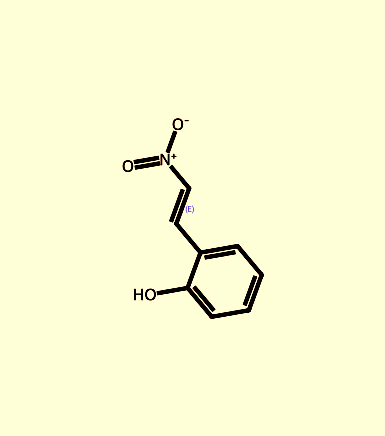 O=[N+]([O-])/C=C/c1ccccc1O